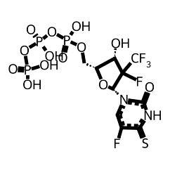 O=c1[nH]c(=S)c(F)cn1[C@@H]1O[C@H](COP(=O)(O)OP(=O)(O)OP(=O)(O)O)[C@H](O)C1(F)C(F)(F)F